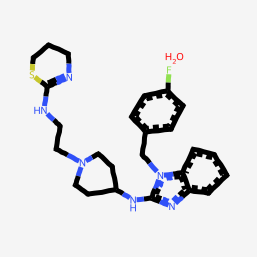 Fc1ccc(Cn2c(NC3CCN(CCNC4=NCCCS4)CC3)nc3ccccc32)cc1.O